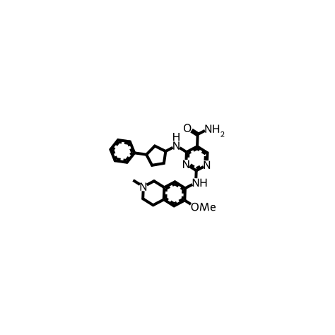 COc1cc2c(cc1Nc1ncc(C(N)=O)c(NC3CCC(c4ccccc4)C3)n1)CN(C)CC2